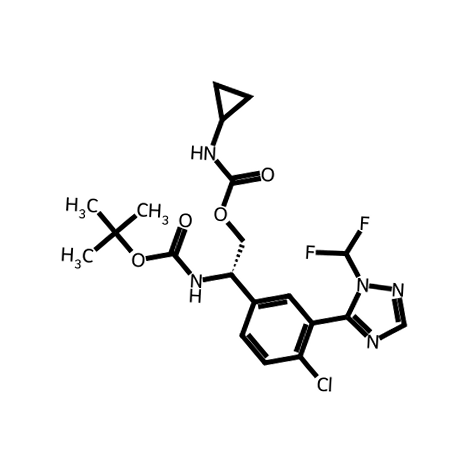 CC(C)(C)OC(=O)N[C@H](COC(=O)NC1CC1)c1ccc(Cl)c(-c2ncnn2C(F)F)c1